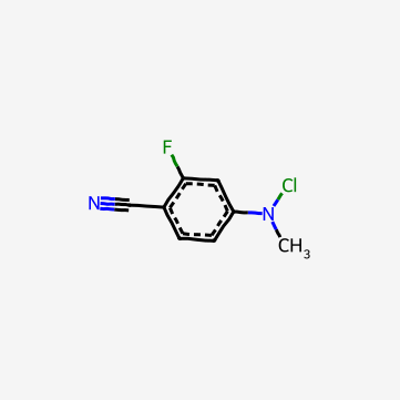 CN(Cl)c1ccc(C#N)c(F)c1